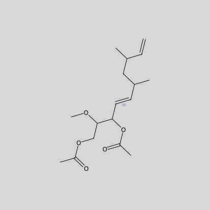 C=CC(C)CC(C)/C=C/C(OC(C)=O)C(COC(C)=O)OC